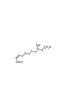 CCCCCCCC/C=C\CCCCCC(O)CC(=O)O